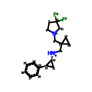 FC1(F)CCN(CC2(CN[C@@H]3C[C@H]3c3ccccc3)CC2)C1